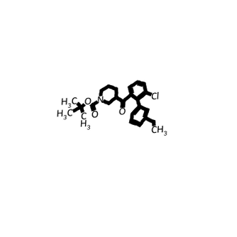 CCc1cccc(-c2c(Cl)cccc2C(=O)C2CCCN(C(=O)OC(C)(C)C)C2)c1